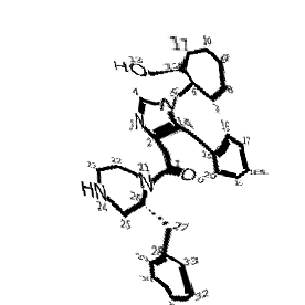 O=C(c1ncn(C2CCCCC[C@@H]2O)c1-c1ccccc1)N1CCNC[C@H]1Cc1ccccc1